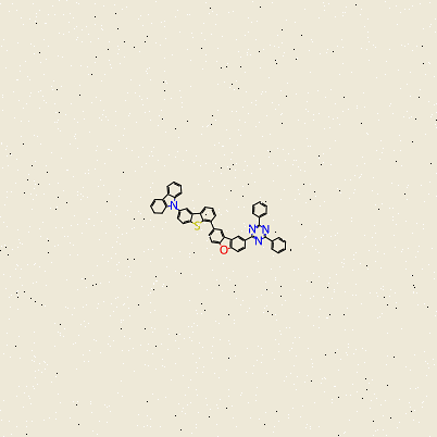 C1=Cc2c(n(-c3ccc4sc5c(-c6ccc7oc8ccc(-c9nc(-c%10ccccc%10)nc(-c%10ccccc%10)n9)cc8c7c6)cccc5c4c3)c3ccccc23)CC1